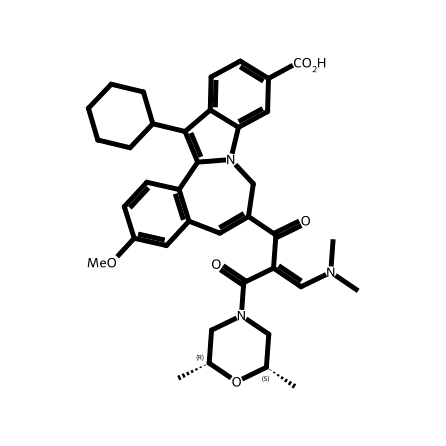 COc1ccc2c(c1)C=C(C(=O)C(=CN(C)C)C(=O)N1C[C@@H](C)O[C@@H](C)C1)Cn1c-2c(C2CCCCC2)c2ccc(C(=O)O)cc21